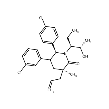 C=CC[C@@]1(C)CC(c2cccc(Cl)c2)[C@@H](c2ccc(Cl)cc2)N([C@@H](CC)[C@H](C)O)C1=O